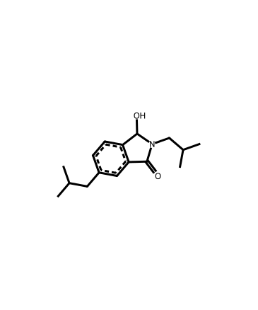 CC(C)Cc1ccc2c(c1)C(=O)N(CC(C)C)C2O